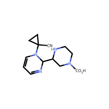 N#CC1(N2C=CC=NC2C2CN(C(=O)O)CCN2)CC1